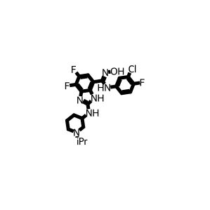 CC(C)N1CCCC(Nc2nc3c(F)c(F)cc(/C(=N/O)Nc4ccc(F)c(Cl)c4)c3[nH]2)C1